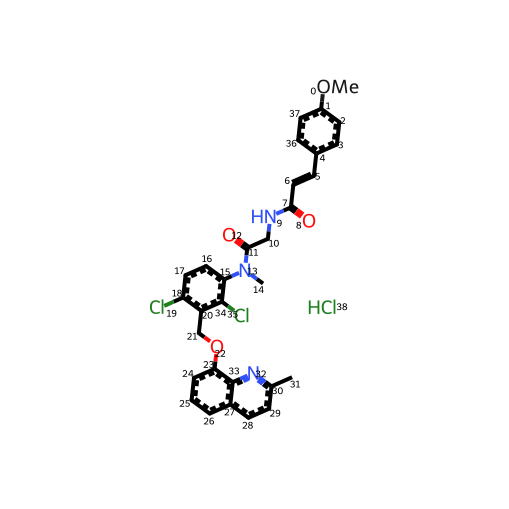 COc1ccc(/C=C/C(=O)NCC(=O)N(C)c2ccc(Cl)c(COc3cccc4ccc(C)nc34)c2Cl)cc1.Cl